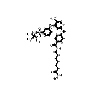 Cc1cnc(Nc2ccc(C(=O)NCCCCCCC(=O)NO)cc2)nc1Nc1cccc(S(=O)(=O)NC(C)(C)C)c1